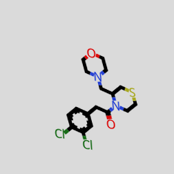 O=C(Cc1ccc(Cl)c(Cl)c1)N1CCSCC1CN1CCOCC1